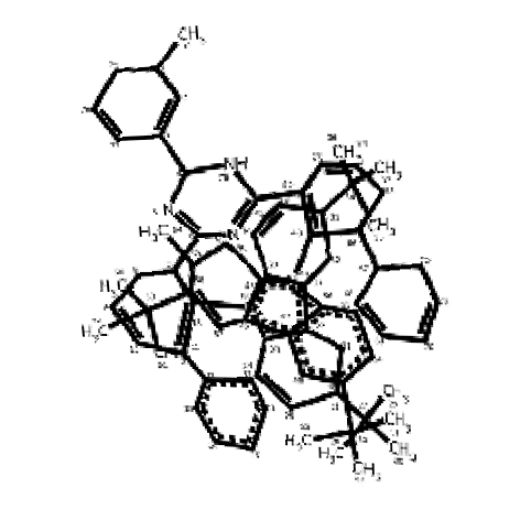 CC1C=C(C2N=C(C3CC=CC(c4ccccc4)=C3n3c4c(c5c3C=CC(C(C)(C)C)C5)CC(C(C)(C)C)C=C4)N=C(C3=C(n4c5c(c6cc(C(C)(C)C)ccc64)C=C(C(C)(C)C)C(C)C5)C(C4C=CC=CC4)CC=C3)N2)C=CC1